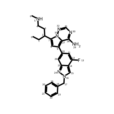 CCC(CCNC)c1cc(-c2cc(F)c3cn(Cc4ccccc4)nc3c2)c2c(N)ncnn12